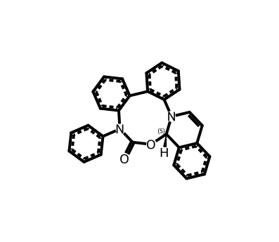 O=C1O[C@H]2c3ccccc3C=CN2c2ccccc2-c2ccccc2N1c1ccccc1